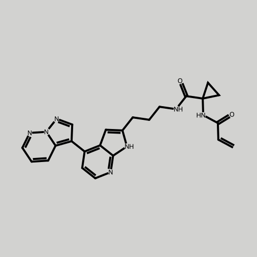 C=CC(=O)NC1(C(=O)NCCCc2cc3c(-c4cnn5ncccc45)ccnc3[nH]2)CC1